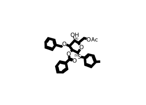 CC(=O)OCC1O[C@@H](Sc2ccc(C)cc2)C(OC(=O)c2ccccc2)C(OCc2ccccc2)[C@@H]1O